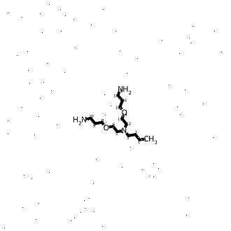 CCCCN(CCOCCCN)CCOCCCN